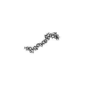 CCN(C)S(=O)(=O)Nc1ccc(F)c(Oc2ccc3ncn([C@H]4COC5(CCN(C(=O)CN6CCN(c7ccc(NC8CCC(O)NC8=O)cc7F)CC6)CC5)C4)c(=O)c3c2)c1C#N